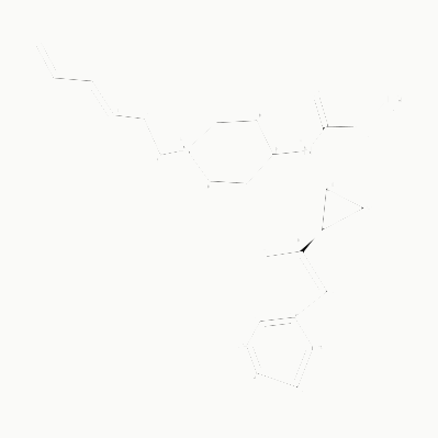 C=C/C=C/CCN1CCC(N(C(=O)OC(C)(C)C)[C@@H]2C[C@H]2/C(C)=C/c2ccccc2)CC1